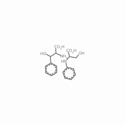 NC(C(=O)O)C(O)c1ccccc1.O=C(O)C(CO)Nc1ccccc1